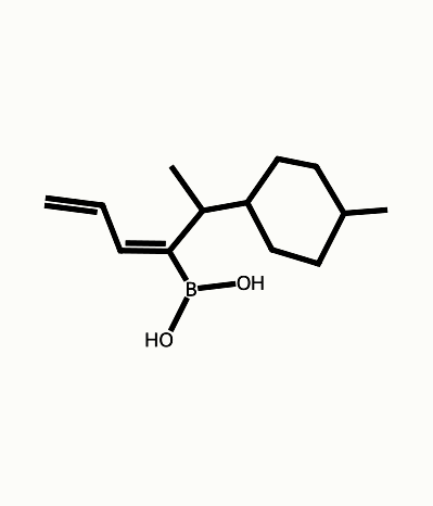 C=C/C=C(/B(O)O)C(C)C1CCC(C)CC1